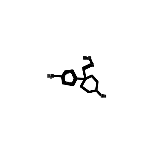 CO/N=C/C1(c2ccc(C)cc2)CCN(C(C)(C)C)CC1